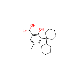 Cc1cc(C(=O)O)c(O)c(C2(C3CCCCC3)CCCCC2)c1